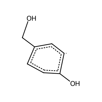 OCc1c[c]c(O)cc1